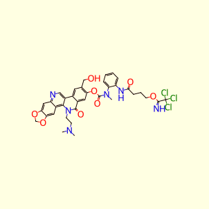 CN(C)CCn1c(=O)c2cc(OC(=O)N(C)c3ccccc3NC(=O)CCCOC(=N)C(Cl)(Cl)Cl)c(CO)cc2c2cnc3cc4c(cc3c21)OCO4